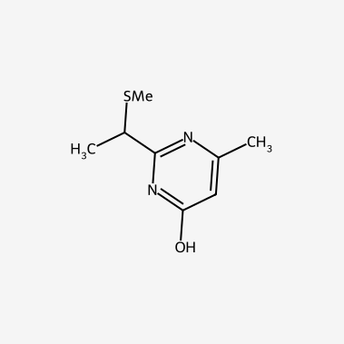 CSC(C)c1nc(C)cc(O)n1